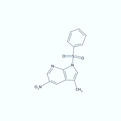 Cc1cn(S(=O)(=O)c2ccccc2)c2ncc([N+](=O)[O-])cc12